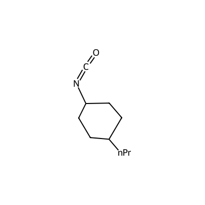 CCCC1CCC(N=C=O)CC1